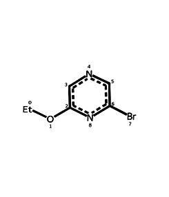 CCOc1cncc(Br)n1